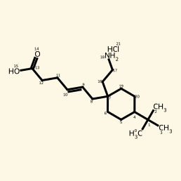 CC(C)(C)C1CCC(CC=CCCC(=O)O)(CCN)CC1.Cl